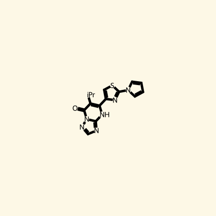 CC(C)c1c(-c2csc(-n3cccc3)n2)[nH]c2ncnn2c1=O